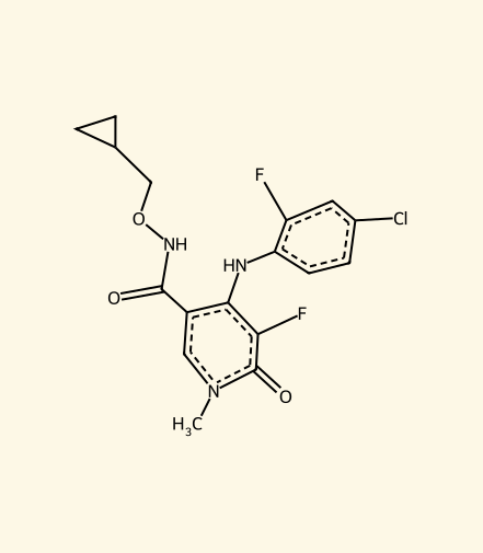 Cn1cc(C(=O)NOCC2CC2)c(Nc2ccc(Cl)cc2F)c(F)c1=O